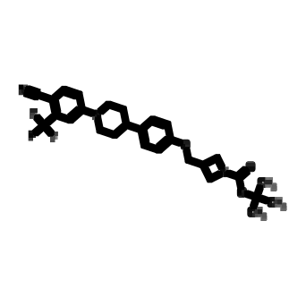 CC(C)(C)OC(=O)N1CC(COc2ccc(C3CCN(c4ccc(C#N)c(C(F)(F)F)c4)CC3)cc2)C1